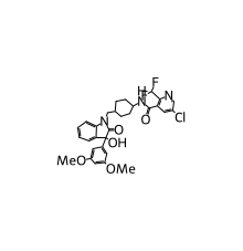 COc1cc(OC)cc(C2(O)C(=O)N(CC3CCC(NC(=O)c4cc(Cl)cnc4C(F)F)CC3)c3ccccc32)c1